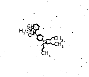 CCCC[Si](CCCC)(CCCC)c1ccc(P(Cl)c2ccccc2[Si](C)(C)C)cc1